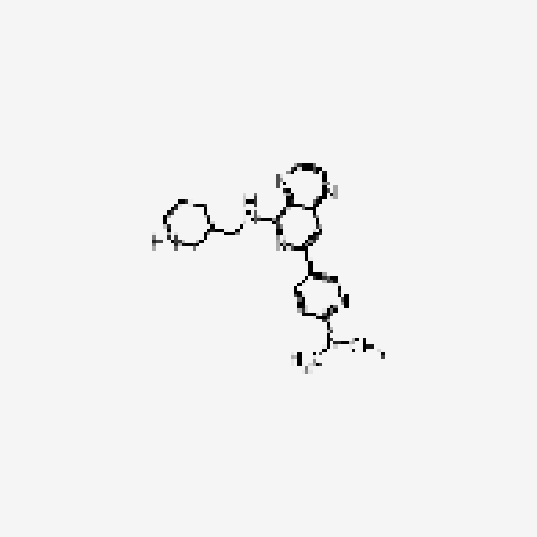 CN(C)c1ccc(-c2cc3nccnc3c(NCC3CCCNC3)n2)cn1